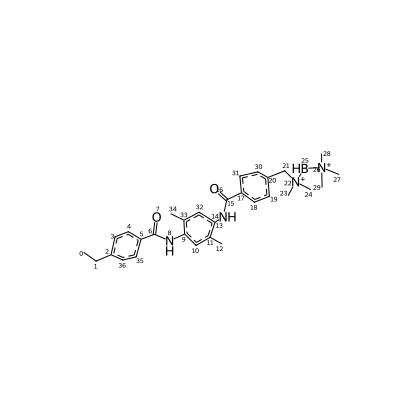 CCc1ccc(C(=O)Nc2cc(C)c(NC(=O)c3ccc(C[N+](C)(C)B[N+](C)(C)C)cc3)cc2C)cc1